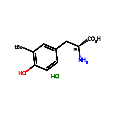 CC(C)(C)c1cc(C[C@H](N)C(=O)O)ccc1O.Cl